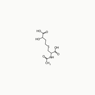 CC(=O)NC(CSCCC(O)C(=O)O)C(=O)O